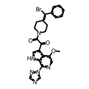 COc1cnc(-n2cncn2)c2[nH]cc(C(=O)C(=O)N3CCC(=C(Br)c4ccccc4)CC3)c12